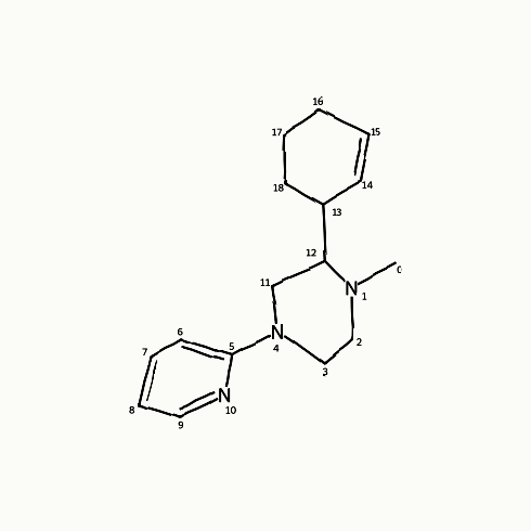 CN1CCN(c2ccccn2)CC1C1C=CCCC1